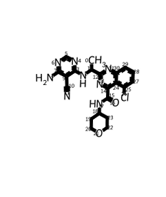 CC(Nc1ncnc(N)c1C#N)c1nc(C(=O)NC2CCOCC2)c2c(Cl)cccc2n1